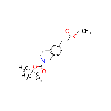 CCOC(=O)C=Cc1ccc2c(c1)CCN(C(=O)OC(C)(C)C)C2